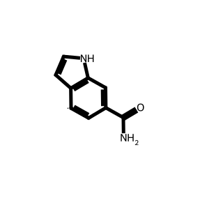 NC(=O)c1c[c]c2cc[nH]c2c1